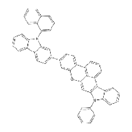 c1ccc(-n2c3ccccc3c3c4cccc5c4c(cc32)Oc2cc(-c3ccc4c6ccccc6n(-c6cccc7ccccc67)c4c3)ccc2-5)cc1